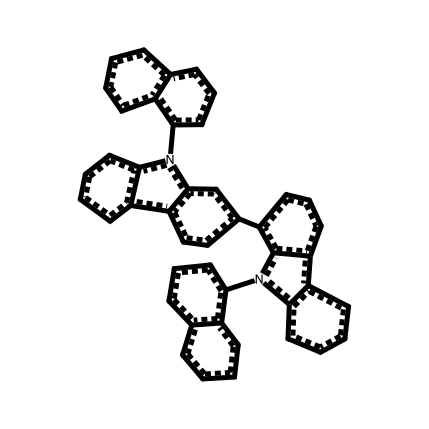 c1ccc2c(-n3c4ccccc4c4ccc(-c5cccc6c7ccccc7n(-c7cccc8ccccc78)c56)cc43)cccc2c1